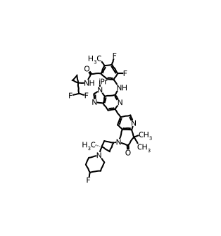 Cc1c(C(=O)NC2(C(F)F)CC2)cc(Nc2nc(-c3cnc4c(c3)N([C@H]3C[C@@](C)(N5CCC(F)CC5)C3)C(=O)C4(C)C)cc3ncn(C(C)C)c23)c(F)c1F